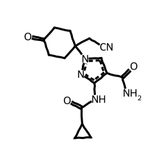 N#CCC1(n2cc(C(N)=O)c(NC(=O)C3CC3)n2)CCC(=O)CC1